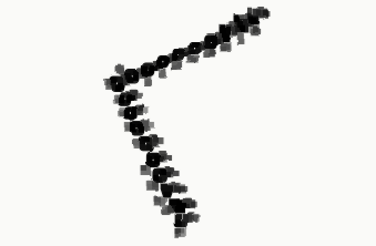 [Ni+2].[Ni+2].[O-2].[O-2].[O-2].[O-2].[O-2].[O-2].[O-2].[O-2].[O-2].[O-2].[O-2].[O-2].[O-2].[U+6].[U+6].[V+5].[V+5]